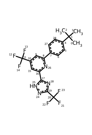 CC(C)(C)c1ccc(-c2cc(C(F)(F)F)cc(-c3nc(C(F)(F)F)n[nH]3)n2)cc1